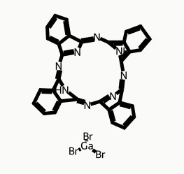 [Br][Ga]([Br])[Br].c1ccc2c(c1)-c1nc-2nc2[nH]c(nc3nc(nc4[nH]c(n1)c1ccccc41)-c1ccccc1-3)c1ccccc21